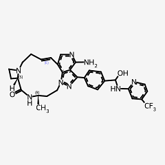 C[C@@H]1CCn2nc(-c3ccc(C(O)Nc4cc(C(F)(F)F)ccn4)cc3)c3c(N)ncc(c32)/C=C/CCN2CC[C@H]2C(=O)N1